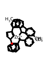 Cc1ccc2c(c1)[CH]([Zr+2]([C]1=C(c3ccccc3)C=CC1c1ccccc1)=[C](c1ccccc1)c1ccccc1)c1cc(C)ccc1-2.[Cl-].[Cl-]